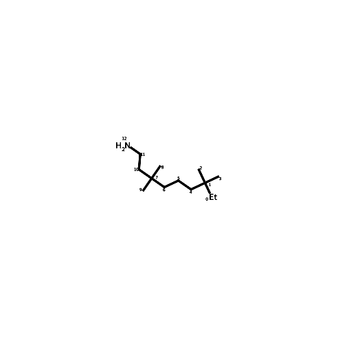 CCC(C)(C)CCCC(C)(C)CCN